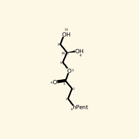 CCCCCCCC(=O)OC[C@H](O)CO